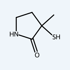 CC1(S)CCNC1=O